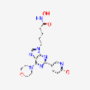 COc1ccc(-c2nc(N3CCOCC3)c3ncn(CCCCC(=O)NO)c3n2)cn1